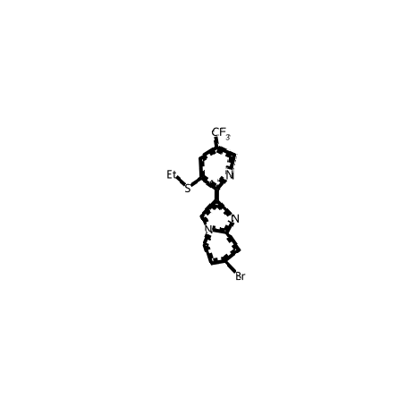 CCSc1cc(C(F)(F)F)cnc1-c1cn2ccc(Br)cc2n1